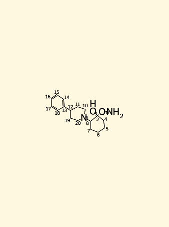 NOC1(O)CCCCC1N1CCC(c2ccccc2)CC1